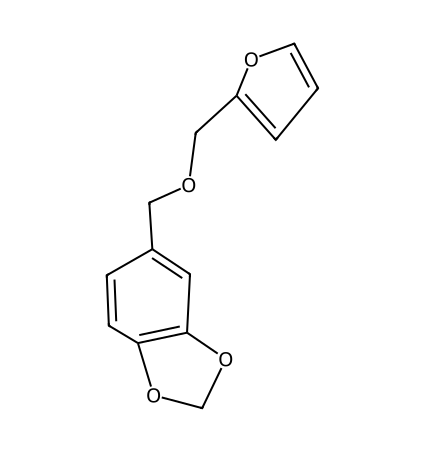 c1coc(COCc2ccc3c(c2)OCO3)c1